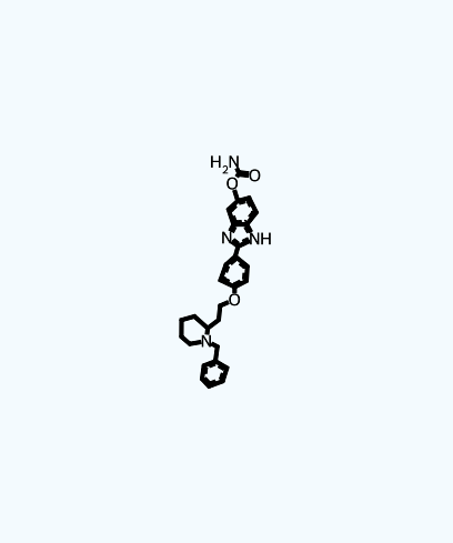 NC(=O)Oc1ccc2[nH]c(-c3ccc(OCCC4CCCCN4Cc4ccccc4)cc3)nc2c1